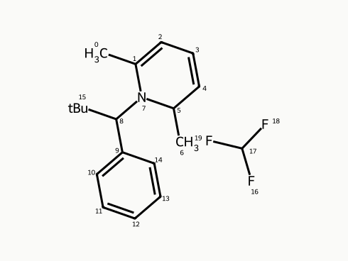 CC1=CC=CC(C)N1C(c1ccccc1)C(C)(C)C.FC(F)F